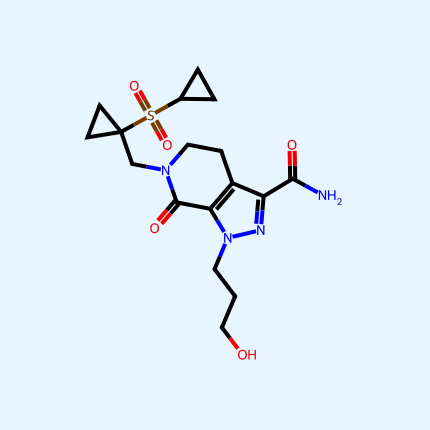 NC(=O)c1nn(CCCO)c2c1CCN(CC1(S(=O)(=O)C3CC3)CC1)C2=O